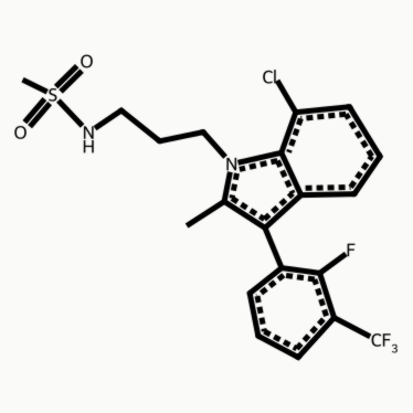 Cc1c(-c2cccc(C(F)(F)F)c2F)c2cccc(Cl)c2n1CCCNS(C)(=O)=O